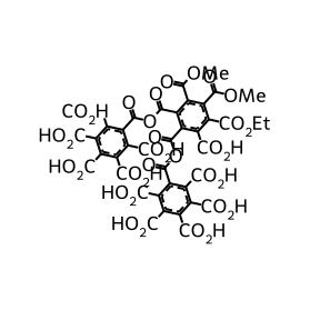 CCOC(=O)c1c(C(=O)O)c(C(=O)OC(=O)c2c(C(=O)O)c(C(=O)O)c(C(=O)O)c(C(=O)O)c2C(=O)O)c(C(=O)OC(=O)c2c(C(=O)O)c(C(=O)O)c(C(=O)O)c(C(=O)O)c2C(=O)O)c(C(=O)OC)c1C(=O)OC